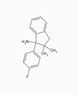 CC1(C)Cc2ccccc2C1(N)c1ccc(F)cc1